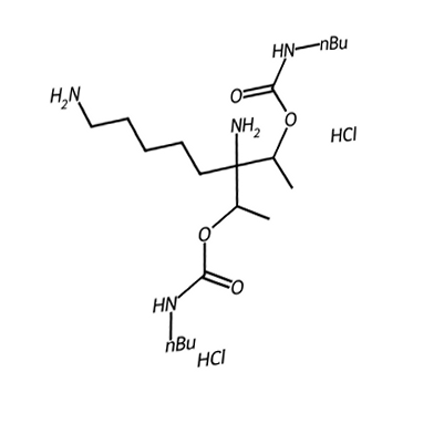 CCCCNC(=O)OC(C)C(N)(CCCCCN)C(C)OC(=O)NCCCC.Cl.Cl